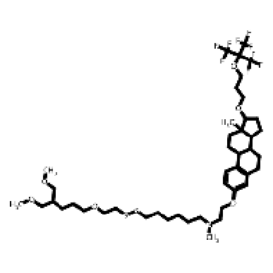 COCC(CCCOCCSSCCCCCCN(C)CCOc1ccc2c(c1)CCC1C2CCC2(C)C(OCCCOC(C(F)(F)F)(C(F)(F)F)C(F)(F)F)CCC12)COC